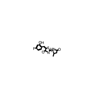 CC1CC(=O)NN1C1=NC(=O)C(=Cc2ccc(F)cc2O)S1